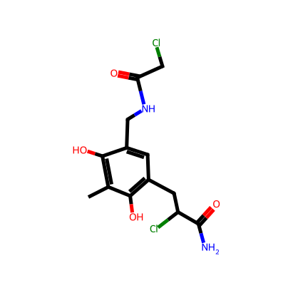 Cc1c(O)c(CNC(=O)CCl)cc(CC(Cl)C(N)=O)c1O